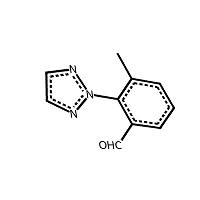 Cc1cccc(C=O)c1-n1nccn1